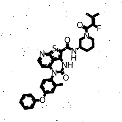 CC(C)=C(F)C(=O)N1CCC[C@@H](NC(=O)c2sc3nccc4c3c2NC(=O)N4c2ccc(Oc3ccccc3)cc2C)C1